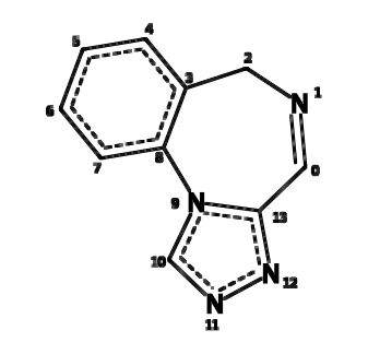 C1=NCc2ccccc2-n2cnnc21